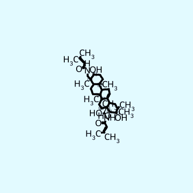 CC(C)=CC(=O)NC[C@@]12C(CC(C)(C)[C@@H](O)[C@@H]1O)C1=CCC3[C@@]4(C)CC[C@H](O)[C@](C)(CNC(=O)C=C(C)C)C4CC[C@@]3(C)[C@]1(C)C[C@H]2O